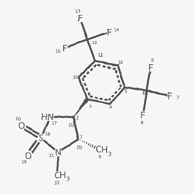 C[C@H]1[C@H](c2cc(C(F)(F)F)cc(C(F)(F)F)c2)NS(=O)(=O)N1C